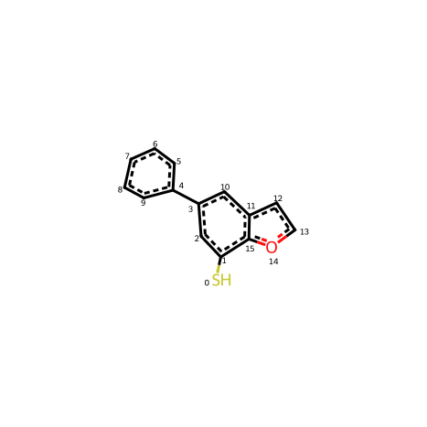 Sc1cc(-c2ccccc2)cc2ccoc12